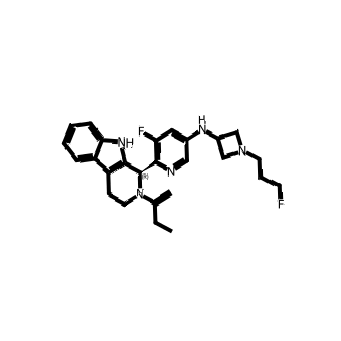 C=C(CC)N1CCc2c([nH]c3ccccc23)[C@H]1c1ncc(NC2CN(CCCF)C2)cc1F